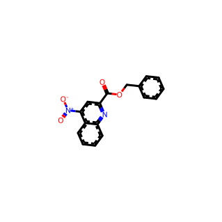 O=C(OCc1ccccc1)c1cc([N+](=O)[O-])c2ccccc2n1